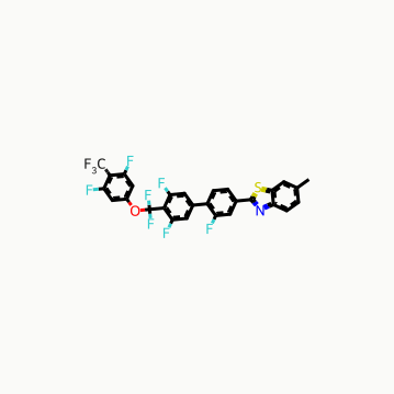 Cc1ccc2nc(-c3ccc(-c4cc(F)c(C(F)(F)Oc5cc(F)c(C(F)(F)F)c(F)c5)c(F)c4)c(F)c3)sc2c1